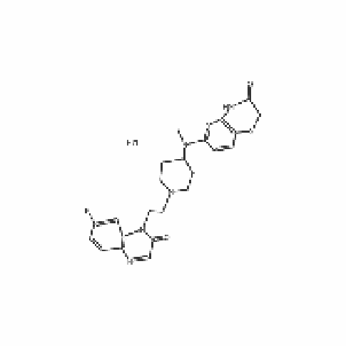 CN(c1ccc2c(n1)NC(=O)CS2)C1CCN(CCn2c(=O)cnc3ccc(F)cc32)CC1.Cl